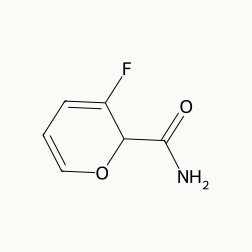 NC(=O)C1OC=CC=C1F